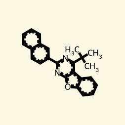 CC(C)(C)c1nc(-c2ccc3ccccc3c2)nc2oc3ccccc3c12